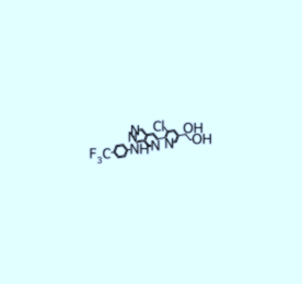 OCC(O)c1cnc(-c2cc3cnnc(Nc4ccc(C(F)(F)F)cc4)c3cn2)c(Cl)c1